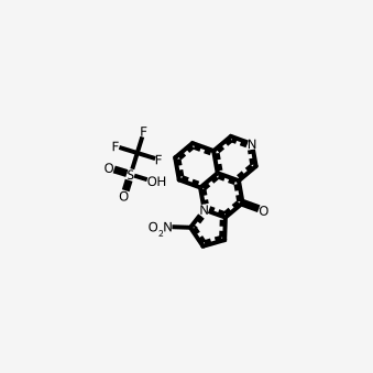 O=S(=O)(O)C(F)(F)F.O=c1c2cncc3cccc(c32)n2c([N+](=O)[O-])ccc12